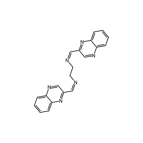 C(=N/CC/N=C\c1cnc2ccccc2n1)/c1cnc2ccccc2n1